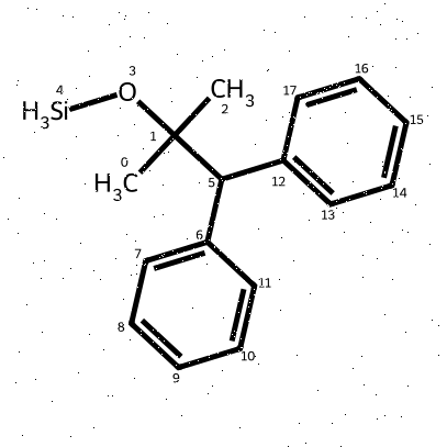 CC(C)(O[SiH3])C(c1ccccc1)c1ccccc1